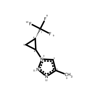 Cc1cn(C2C[C@@H]2C(F)(F)F)nn1